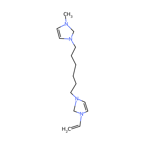 C=CN1C=CN(CCCCCCN2C=CN(C)C2)C1